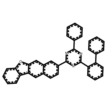 c1ccc(-c2nc(-c3ccc4cc5c(cc4c3)oc3ccccc35)nc(-c3ccccc3-c3ccccc3)n2)cc1